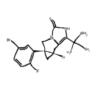 BC(B)(B)c1[nH]c(=S)n2c1[C@@H]1C[C@]1(c1cc(Br)ccc1F)C2